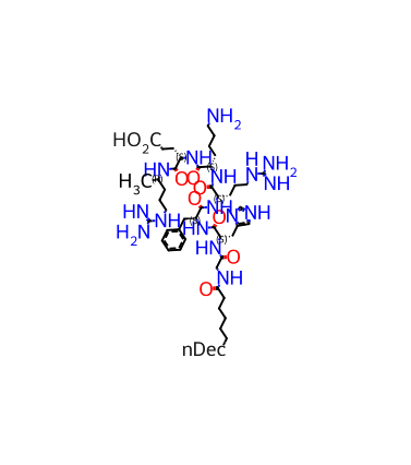 CCCCCCCCCCCCCCCC(=O)NCC(=O)N[C@@H](Cc1c[nH]cn1)C(=O)N[C@@H](Cc1ccccc1)C(=O)N[C@@H](CCCNC(=N)N)C(=O)N[C@@H](CCCCN)C(=O)N[C@@H](CCC(=O)O)C(=O)N[C@H](C)CCCNC(=N)N